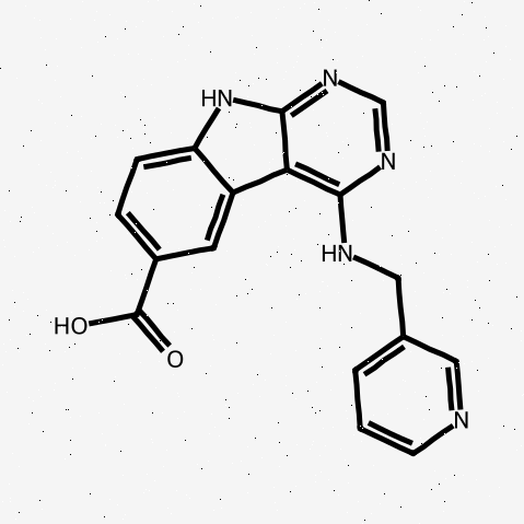 O=C(O)c1ccc2[nH]c3ncnc(NCc4cccnc4)c3c2c1